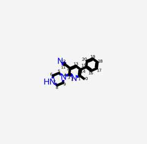 Cc1nc(N2CCNCC2)c(C#N)cc1-c1ccccc1